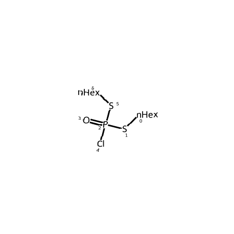 CCCCCCSP(=O)(Cl)SCCCCCC